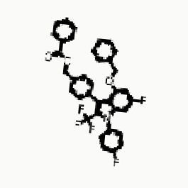 O=C(OCc1ccc(-c2c(C(F)(F)F)n(-c3ccc(F)cc3)c3cc(F)cc(OCc4ccccc4)c23)cc1)c1ccccc1